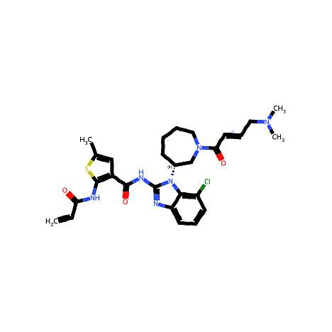 C=CC(=O)Nc1sc(C)cc1C(=O)Nc1nc2cccc(Cl)c2n1[C@@H]1CCCCN(C(=O)/C=C/CN(C)C)C1